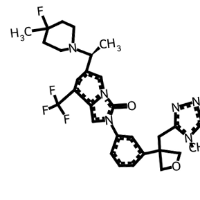 C[C@@H](c1cc(C(F)(F)F)c2cn(-c3cccc(C4(Cc5nncn5C)COC4)c3)c(=O)n2c1)N1CCC(C)(F)CC1